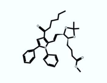 CCCCCC(=O)c1cc(-c2ccccc2)n(-c2ccccc2)c1/C=C/[C@H]1OC(C)(C)O[C@H]1CCCC(=O)OC